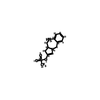 O=S(=O)(OC1=CN2Cc3ccccc3NCC2C1)C(F)(F)F